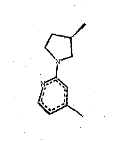 Cc1ccnc(N2CC[C@@H](C)C2)c1